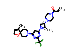 C=CC(=O)N1CCN([C@@H]2CN(c3cc(N4CCC5(CC4)OCC=C5C)nc(C(F)(F)F)n3)[C@@H]2C)CC1